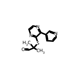 CC(C)(C=O)Sc1nccnc1-c1cccnc1